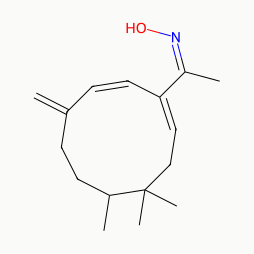 C=C1\C=C/C(C(/C)=N\O)=C\CC(C)(C)C(C)CC1